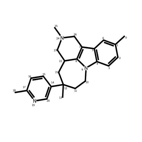 Cc1ccc2c(c1)c1c3n2CCC(C)(c2ccc(C)nc2)CC3CN(C)C1